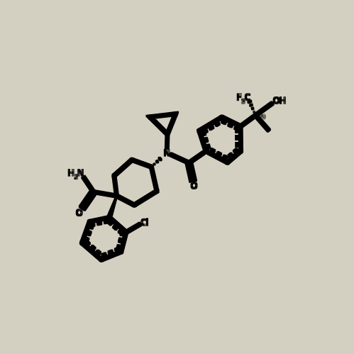 C[C@](O)(c1ccc(C(=O)N(C2CC2)[C@H]2CC[C@](C(N)=O)(c3ccccc3Cl)CC2)cc1)C(F)(F)F